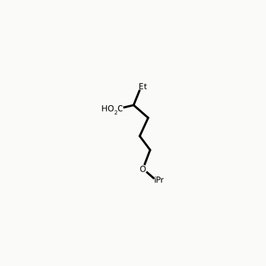 CCC(CCCOC(C)C)C(=O)O